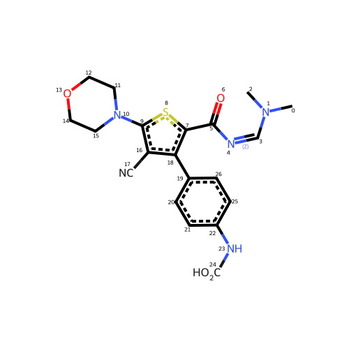 CN(C)/C=N\C(=O)c1sc(N2CCOCC2)c(C#N)c1-c1ccc(NC(=O)O)cc1